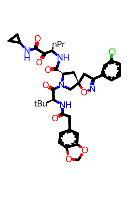 CCC[C@H](NC(=O)[C@@H]1C[C@]2(CC(c3cccc(Cl)c3)=NO2)CN1C(=O)[C@@H](NC(=O)Cc1ccc2c(c1)OCO2)C(C)(C)C)C(=O)C(=O)NC1CC1